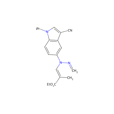 C=NN(/C=C(\C)C(=O)OCC)c1ccc2c(c1)c(C#N)cn2C(C)C